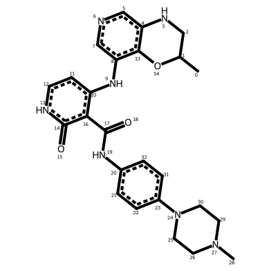 CC1CNc2cncc(Nc3cc[nH]c(=O)c3C(=O)Nc3ccc(N4CCN(C)CC4)cc3)c2O1